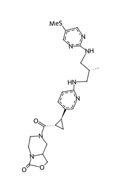 CSc1cnc(NC[C@H](C)CNc2ccc([C@H]3C[C@@H]3C(=O)N3CCN4C(=O)OCC4C3)cn2)nc1